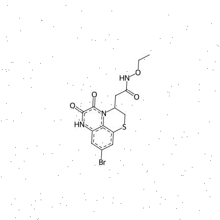 CCONC(=O)CC1CSc2cc(Br)cc3[nH]c(=O)c(=O)n1c23